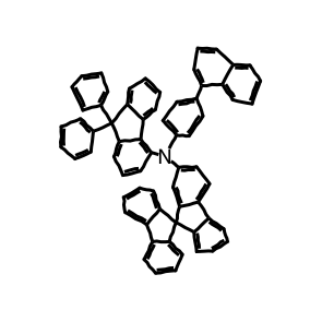 c1ccc(C2(c3ccccc3)c3ccccc3-c3c(N(c4ccc(-c5cccc6ccccc56)cc4)c4ccc5c(c4)C4(c6ccccc6-c6ccccc64)c4ccccc4-5)cccc32)cc1